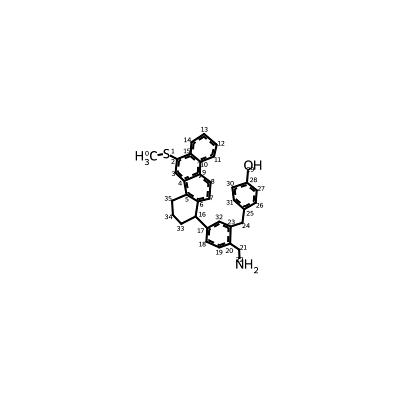 CSc1cc2c3c(ccc2c2ccccc12)C(c1ccc(CN)c(Cc2ccc(O)cc2)c1)CCC3